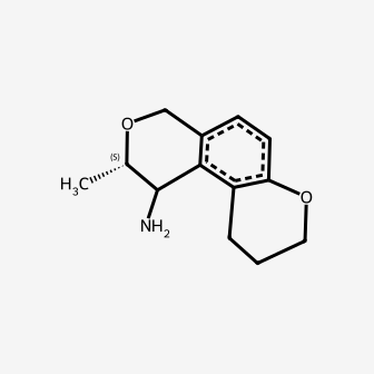 C[C@@H]1OCc2ccc3c(c2C1N)CCCO3